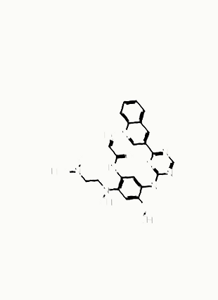 C=CC(=O)Nc1cc(Nc2ncnc(-c3cnc4ccccc4c3)n2)c(OC)cc1N(C)CCN(C)C